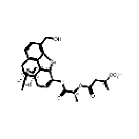 C[C@H](OC(=O)C[C@H](C)C(=O)O)C(=O)OC1=CC[C@@]2(O)[C@H]3Cc4ccc(CO)c5c4[C@@]2(CCN3C)[C@H]1O5